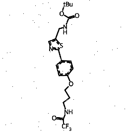 CC(C)(C)OC(=O)NCc1cnc(-c2ccc(OCCCNC(=O)C(F)(F)F)cc2)s1